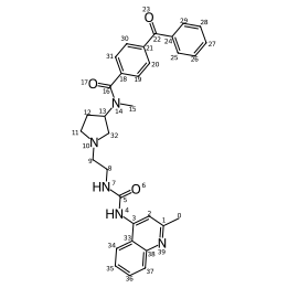 Cc1cc(NC(=O)NCCN2CCC(N(C)C(=O)c3ccc(C(=O)c4ccccc4)cc3)C2)c2ccccc2n1